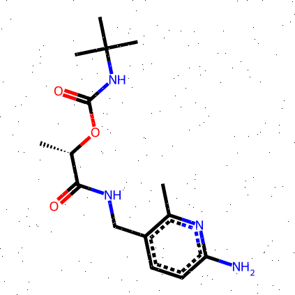 Cc1nc(N)ccc1CNC(=O)[C@H](C)OC(=O)NC(C)(C)C